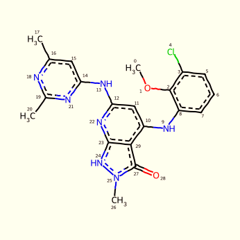 COc1c(Cl)cccc1Nc1cc(Nc2cc(C)nc(C)n2)nc2[nH]n(C)c(=O)c12